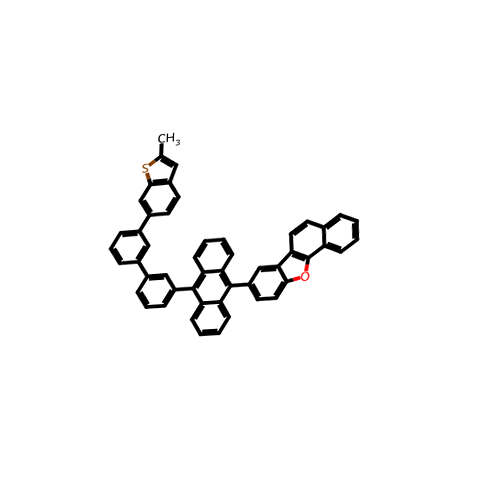 Cc1cc2ccc(-c3cccc(-c4cccc(-c5c6ccccc6c(-c6ccc7oc8c9ccccc9ccc8c7c6)c6ccccc56)c4)c3)cc2s1